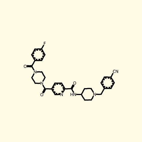 N#Cc1ccc(CN2CCC(NC(=O)c3ccc(C(=O)N4CCN(C(=O)c5ccc(F)cc5)CC4)cn3)CC2)cc1